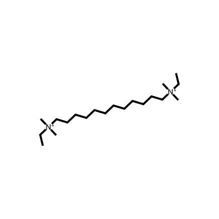 CC[N+](C)(C)CCCCCCCCCCCC[N+](C)(C)CC